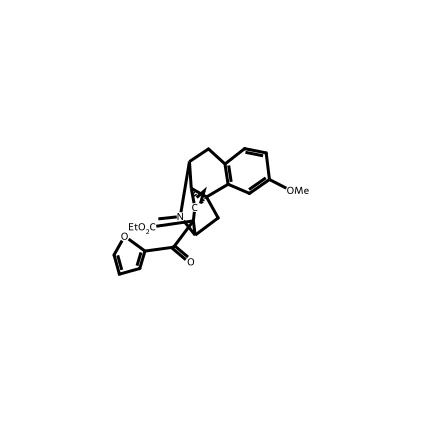 CCOC(=O)C1(C(=O)c2ccco2)C[C@]23CCC[C@]24CC1N(C)C3Cc1ccc(OC)cc14